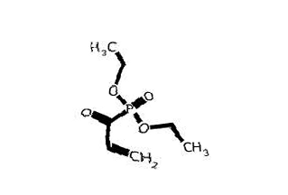 C=CC(=O)P(=O)(OCC)OCC